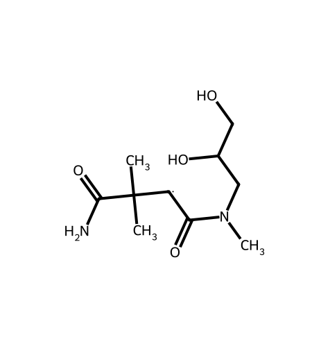 CN(CC(O)CO)C(=O)[CH]C(C)(C)C(N)=O